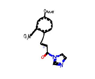 COc1ccc(/C=C/C(=O)n2ccnc2)c([N+](=O)[O-])c1